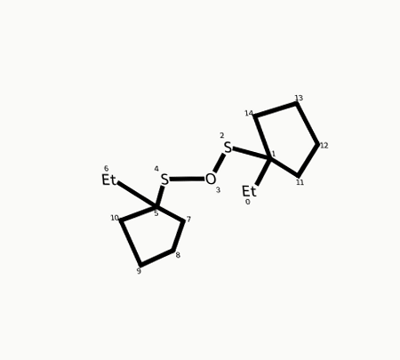 CCC1(SOSC2(CC)CCCC2)CCCC1